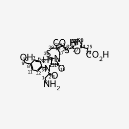 NCC(=O)N(c1ccc(CO)cc1)C1C(=O)N2CC(CSc3nnc(CC(=O)O)o3)(C(=O)O)CS[C@H]12